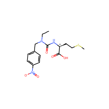 CCN(Cc1ccc([N+](=O)[O-])cc1)C(=O)N[C@@H](CCSC)C(=O)O